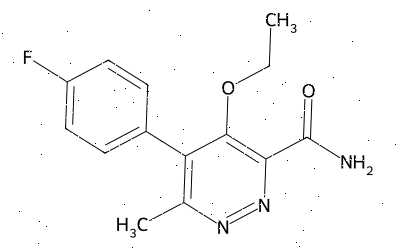 CCOc1c(C(N)=O)nnc(C)c1-c1ccc(F)cc1